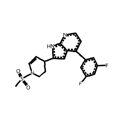 CS(=O)(=O)N1C=CC(c2cc3c(-c4cc(F)cc(F)c4)ccnc3[nH]2)CC1